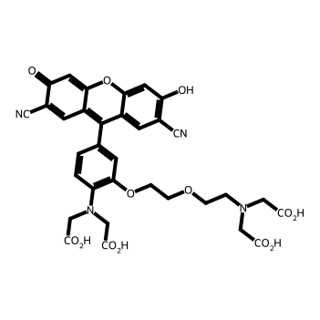 N#Cc1cc2c(-c3ccc(N(CC(=O)O)CC(=O)O)c(OCCOCCN(CC(=O)O)CC(=O)O)c3)c3cc(C#N)c(=O)cc-3oc2cc1O